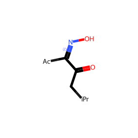 CC(=O)/C(=N/O)C(=O)CC(C)C